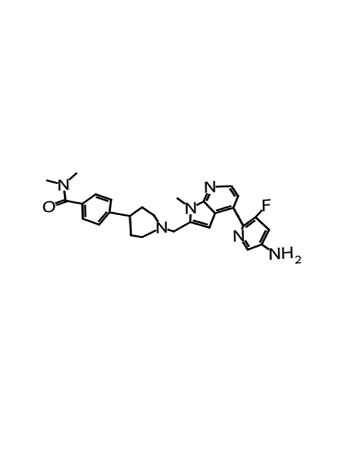 CN(C)C(=O)c1ccc(C2CCN(Cc3cc4c(-c5ncc(N)cc5F)ccnc4n3C)CC2)cc1